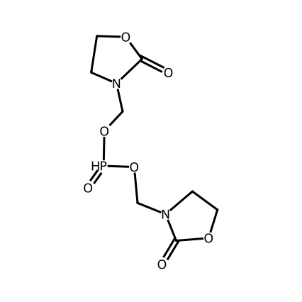 O=C1OCCN1CO[PH](=O)OCN1CCOC1=O